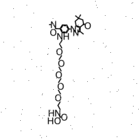 Cc1nn(-c2ccc(C(=O)N(C)C)c(NCCCOCCOCCOCCOCCOCCCNC(=O)O)c2)c2c1C(=O)CC(C)(C)C2